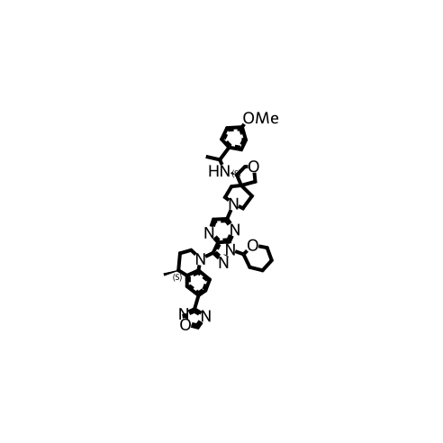 COc1ccc(C(C)N[C@@H]2COCC23CCN(c2cnc4c(N5CC[C@H](C)c6cc(-c7ncon7)ccc65)nn(C5CCCCO5)c4n2)CC3)cc1